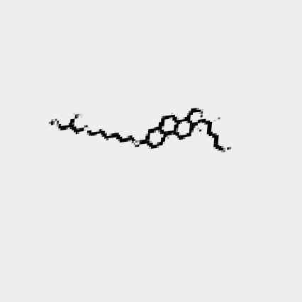 CC(C)CCC[C@@H](C)[C@H]1CCC2C3CC=C4CC(OCCCCCCOCC(O)CO)CC[C@]4(C)C3CC[C@@]21C